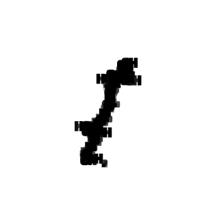 Cc1cc(N=Nc2cc(C)c(N=Nc3c(S(=O)(=O)O)cc4cc(N=Nc5ccc(O)c(N)c5)ccc4c3O)cc2C)ccc1N=Nc1ccc(N=Nc2cc3c(S(=O)(=O)O)cc(S(=O)(=O)O)cc3cc2S(=O)(=O)O)c(C)c1